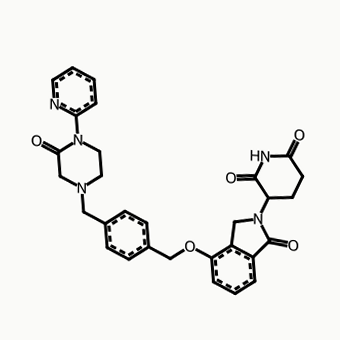 O=C1CCC(N2Cc3c(OCc4ccc(CN5CCN(c6ccccn6)C(=O)C5)cc4)cccc3C2=O)C(=O)N1